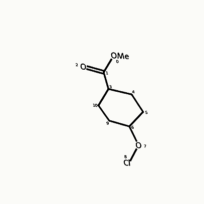 COC(=O)C1CCC(OCl)CC1